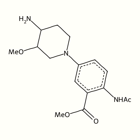 COC(=O)c1cc(N2CCC(N)C(OC)C2)ccc1NC(C)=O